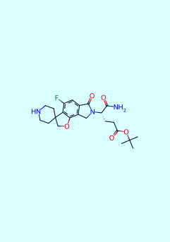 CC(C)(C)OC(=O)CC[C@@H](C(N)=O)N1Cc2c(cc(F)c3c2OCC32CCNCC2)C1=O